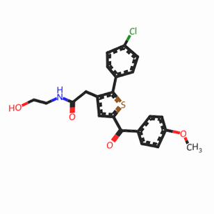 COc1ccc(C(=O)c2cc(CC(=O)NCCO)c(-c3ccc(Cl)cc3)s2)cc1